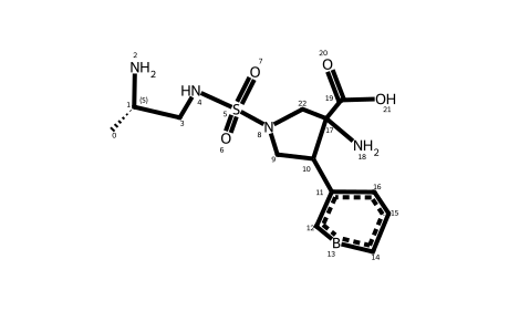 C[C@H](N)CNS(=O)(=O)N1CC(c2cbccc2)C(N)(C(=O)O)C1